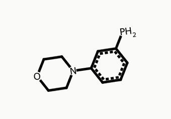 Pc1cccc(N2CCOCC2)c1